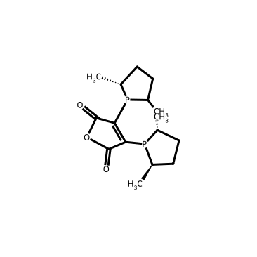 CC1CC[C@@H](C)P1C1=C(P2[C@H](C)CC[C@H]2C)C(=O)OC1=O